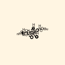 CCCS(=O)(=O)NC[C@@H](C)C[C@H](O)[C@H](CC1CCCCC1)NC(=O)[C@H](Cc1c[nH]cn1)NC(=O)[C@H](Cc1ccccc1)NC(=O)N1CCC(NC(=O)OC(C)(C)C)CC1